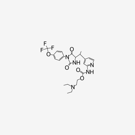 CCN(CC)CCOC(=O)Nc1cc(C(C)C2NC(=O)N(c3ccc(OC(F)(F)F)cc3)C2=O)ccn1